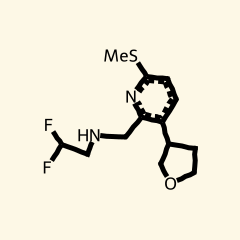 CSc1ccc(C2CCOC2)c(CNCC(F)F)n1